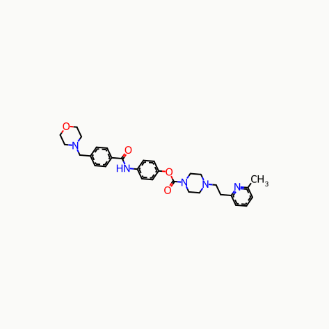 Cc1cccc(CCN2CCN(C(=O)Oc3ccc(NC(=O)c4ccc(CN5CCOCC5)cc4)cc3)CC2)n1